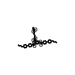 C=CC(=O)OCCCCOC(=O)c1cc(OC(=O)C2CCC(C3CCC(CCCC)CC3)CC2)ccc1OC(=O)C1CCC(C2CCC(CCCC)CC2)CC1